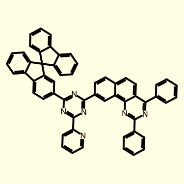 c1ccc(-c2nc(-c3ccccc3)c3ccc4ccc(-c5nc(-c6ccc7c(c6)C6(c8ccccc8-c8ccccc86)c6ccccc6-7)nc(-c6ccccn6)n5)cc4c3n2)cc1